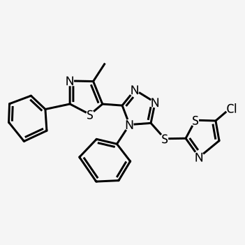 Cc1nc(-c2ccccc2)sc1-c1nnc(Sc2ncc(Cl)s2)n1-c1ccccc1